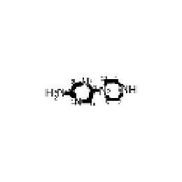 Nc1cnc(N2CCNCC2)cn1